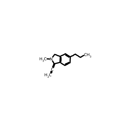 C=C=C1c2ccc(CCC)cc2CN1C